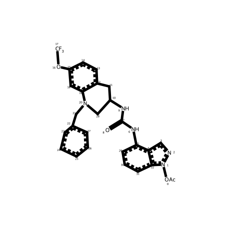 CC(=O)On1ncc2c(NC(=O)NC3Cc4ccc(OC(F)(F)F)cc4N(Cc4ccccc4)C3)cccc21